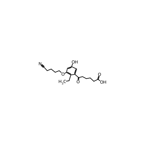 CCc1c(OCCCCC#N)cc(O)cc1C(=O)CCCCC(=O)O